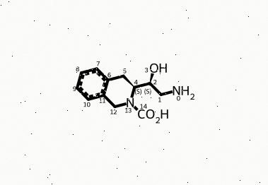 NC[C@H](O)[C@@H]1Cc2ccccc2CN1C(=O)O